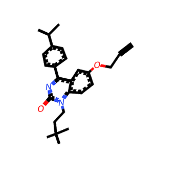 C#CCOc1ccc2c(c1)c(-c1ccc(C(C)C)cc1)nc(=O)n2CCC(C)(C)C